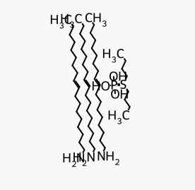 CCCCCCCCC=CCCCCCCCCN.CCCCCCCCC=CCCCCCCCCN.CCCCCCCCC=CCCCCCCCCN.CCCCS(CCCC)=P(O)(O)O